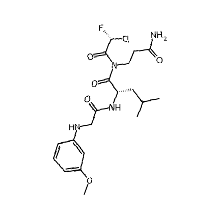 COc1cccc(NCC(=O)N[C@@H](CC(C)C)C(=O)N(CCC(N)=O)C(=O)[C@H](F)Cl)c1